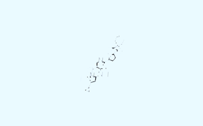 O=S(=O)(c1ccc(-c2ncc(Cl)c(Nc3cc(C4CC4)[nH]n3)n2)s1)N1CCOCC1